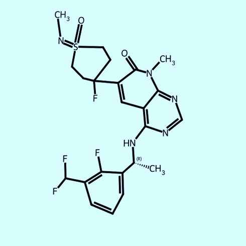 CN=S1(=O)CCC(F)(c2cc3c(N[C@H](C)c4cccc(C(F)F)c4F)ncnc3n(C)c2=O)CC1